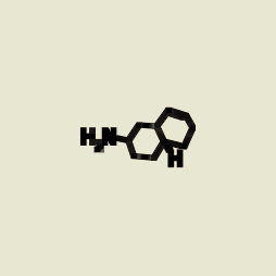 NC1CC[C@H]2CCC=CC2C1